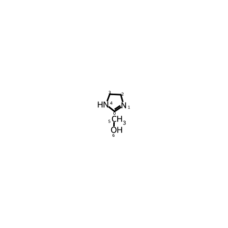 C1=NCCN1.CO